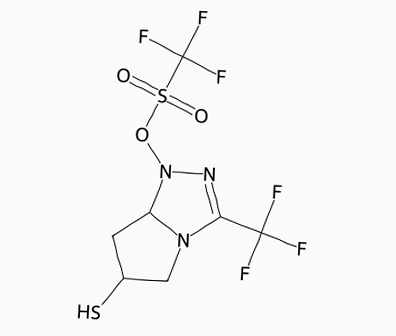 O=S(=O)(ON1N=C(C(F)(F)F)N2CC(S)CC12)C(F)(F)F